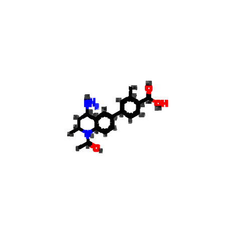 CC(=O)N1c2ccc(-c3ccc(C(=O)O)c(C)c3)cc2C(N)CC1C